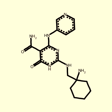 NC(=O)c1c(Nc2cccnc2)nc(NCC2(N)CCCCC2)[nH]c1=O